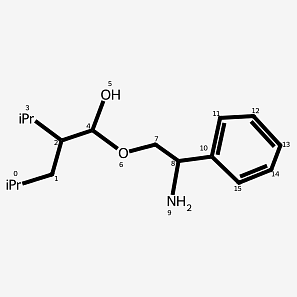 CC(C)CC(C(C)C)C(O)OCC(N)c1ccccc1